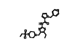 CCc1sc(NC(=O)c2cccn2Cc2ccncc2)nc1CN1CCN(S(=O)(=O)CC)CC1